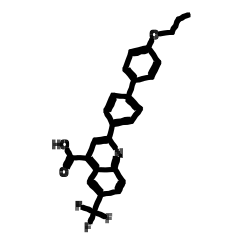 CCCOc1ccc(-c2ccc(-c3cc(C(=O)O)c4cc(C(F)(F)F)ccc4n3)cc2)cc1